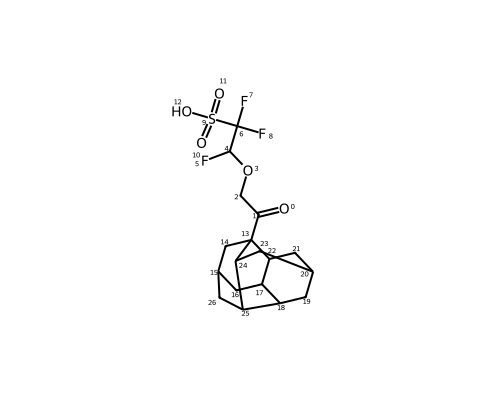 O=C(COC(F)C(F)(F)S(=O)(=O)O)C12CC3CC4C5CC(CC41)CC2C5C3